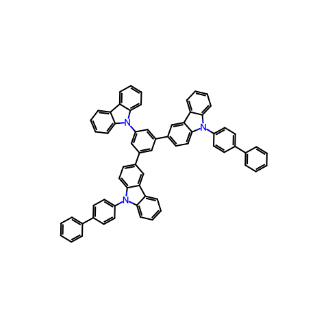 c1ccc(-c2ccc(-n3c4ccccc4c4cc(-c5cc(-c6ccc7c(c6)c6ccccc6n7-c6ccc(-c7ccccc7)cc6)cc(-n6c7ccccc7c7ccccc76)c5)ccc43)cc2)cc1